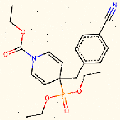 CCOC(=O)N1C=CC(Cc2ccc(C#N)cc2)(P(=O)(OCC)OCC)C=C1